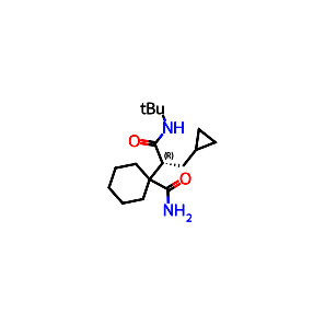 CC(C)(C)NC(=O)[C@H](CC1CC1)C1(C(N)=O)CCCCC1